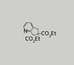 CCOC(=O)C1(C(=O)OCC)Cc2cccnc2C1